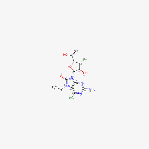 CC[C@H](O)[C@H]1O[C@@H](n2c(=O)n(CC(F)(F)F)c3c(Cl)nc(N)nc32)[C@H](O)[C@H]1F